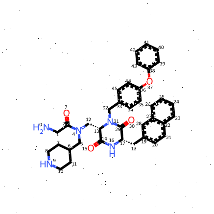 NCC(=O)N(CC1CCNCC1)C[C@H]1C(=O)N[C@@H](Cc2ccc3ccccc3c2)C(=O)N1Cc1ccc(Oc2ccccc2)cc1